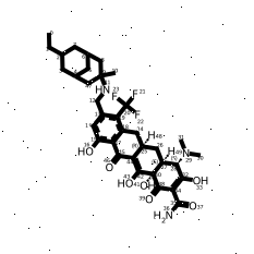 CCC1CC2CC(C1)CC(C)(NCc1cc(O)c3c(c1C(F)(F)F)C[C@H]1C[C@H]4[C@H](N(C)C)C(O)=C(C(N)=O)C(=O)[C@@]4(O)C(O)=C1C3=O)C2